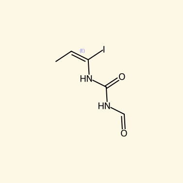 C/C=C(/I)NC(=O)NC=O